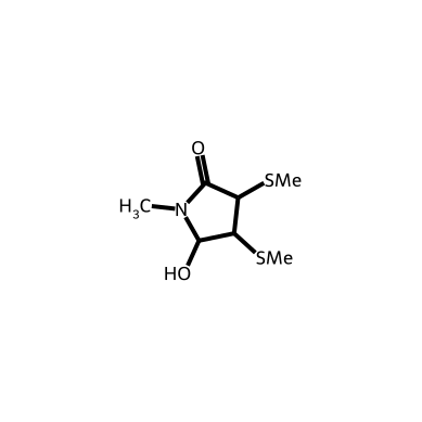 CSC1C(=O)N(C)C(O)C1SC